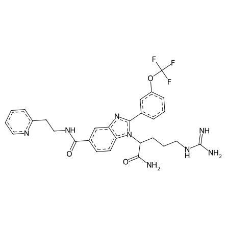 N=C(N)NCCCC(C(N)=O)n1c(-c2cccc(OC(F)(F)F)c2)nc2cc(C(=O)NCCc3ccccn3)ccc21